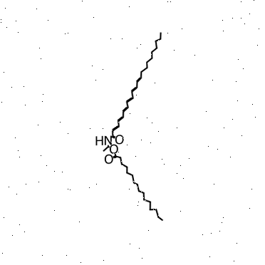 CCCCCCCCCC=CC=CC=CC=CC=CC=CC(=O)NC(C)OC(=O)CCCCCCCCCCCCCCC